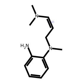 CN(C)/C=C\CN(C)c1ccccc1N